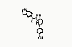 CC(c1ccc2ncccc2c1)c1nnc2ccc(-c3ccc(C#N)cc3)nn12